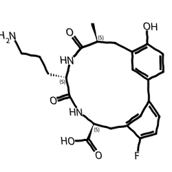 C[C@H]1Cc2cc(ccc2O)-c2ccc(F)c(c2)C[C@@H](C(=O)O)NC(=O)[C@H](CCCN)NC1=O